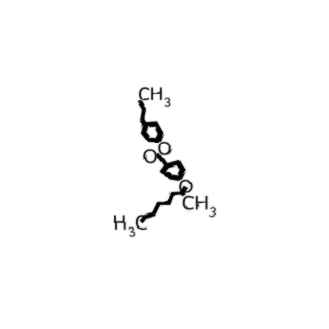 CCCCCCC(C)Oc1ccc(C(=O)Oc2ccc(CCCC)cc2)cc1